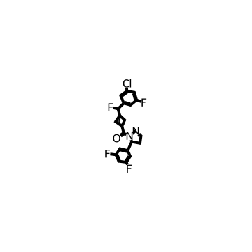 O=C(N1N=CCC1c1cc(F)cc(F)c1)C12CC(C(F)c3cc(F)cc(Cl)c3)(C1)C2